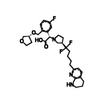 O=C(O)[C@H](c1cc(F)ccc1CO[C@@H]1CCOC1)N1CC[C@@H](C(F)(F)CCCCc2ccc3c(n2)NCCC3)C1